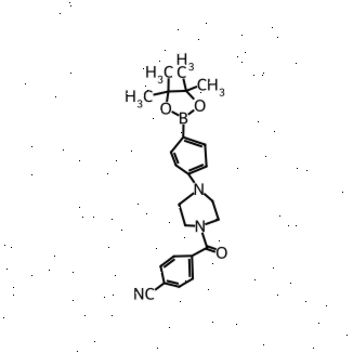 CC1(C)OB(c2ccc(N3CCN(C(=O)c4ccc(C#N)cc4)CC3)cc2)OC1(C)C